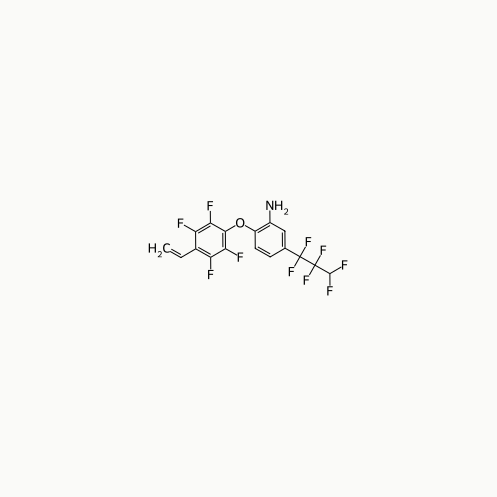 C=Cc1c(F)c(F)c(Oc2ccc(C(F)(F)C(F)(F)C(F)F)cc2N)c(F)c1F